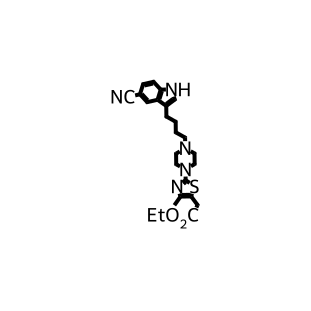 CCOC(=O)Cc1sc(N2CCN(CCCCc3c[nH]c4ccc(C#N)cc34)CC2)nc1C